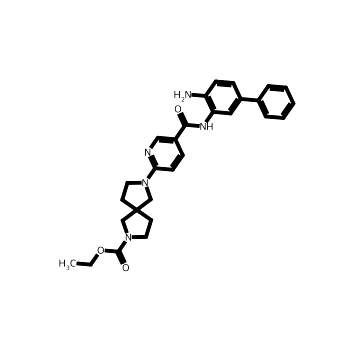 CCOC(=O)N1CCC2(CCN(c3ccc(C(=O)Nc4cc(-c5ccccc5)ccc4N)cn3)C2)C1